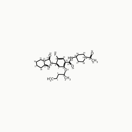 CCCC(C)Oc1cc(-n2nc3n(c2=O)CCCC3)c(F)cc1C(=O)NC1CCN(C(C)=O)CC1